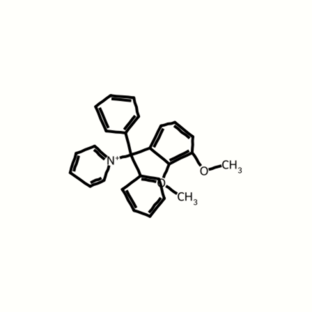 COc1cccc(C(c2ccccc2)(c2ccccc2)[n+]2ccccc2)c1OC